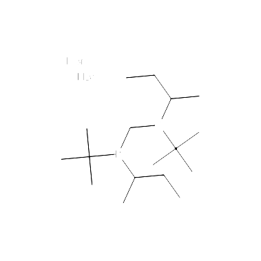 Br.Br.CCC(C)P(CP(C(C)CC)C(C)(C)C)C(C)(C)C